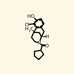 C[C@]12CCN(C(=O)C3CCCC3)[C@@H](Cc3ccc(O)c(Cl)c31)C2